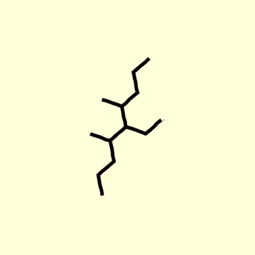 [CH2]CC(C(C)CCC)C(C)CCC